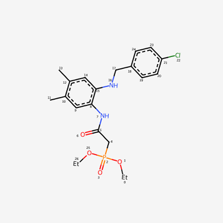 CCOP(=O)(CC(=O)Nc1cc(C)c(C)cc1NCc1ccc(Cl)cc1)OCC